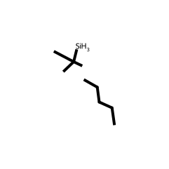 CC(C)(C)[SiH3].CCCCC